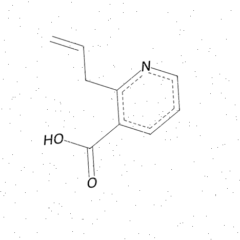 C=CCc1ncccc1C(=O)O